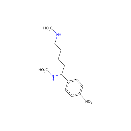 O=C(O)NCCCCC(NC(=O)O)c1ccc([N+](=O)[O-])cc1